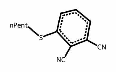 CCCCCSc1cccc(C#N)c1C#N